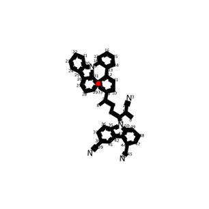 C=C(C#N)/C(=C\C=C(/C)c1ccc(-c2ccccc2-n2c3ccccc3c3ccccc32)cc1)n1c2ccc(C#N)cc2c2c(C#N)cccc21